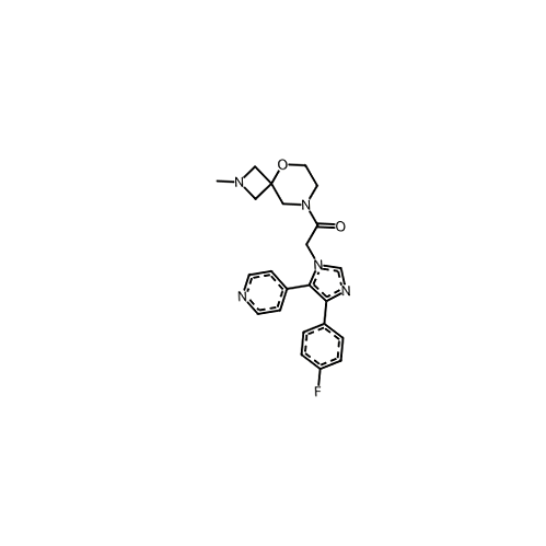 CN1CC2(C1)CN(C(=O)Cn1cnc(-c3ccc(F)cc3)c1-c1ccncc1)CCO2